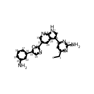 CCc1cc(-c2c[nH]c3ncc(-c4ncc(-c5cccc(N)c5)o4)cc23)nc(N)n1